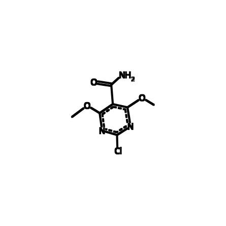 COc1nc(Cl)nc(OC)c1C(N)=O